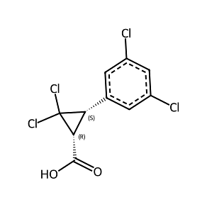 O=C(O)[C@H]1[C@@H](c2cc(Cl)cc(Cl)c2)C1(Cl)Cl